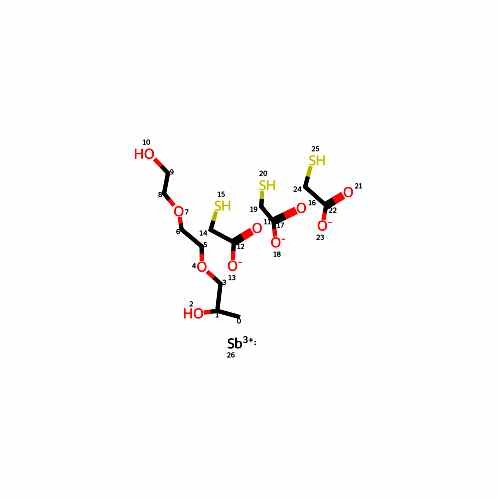 CC(O)COCCOCCO.O=C([O-])CS.O=C([O-])CS.O=C([O-])CS.[Sb+3]